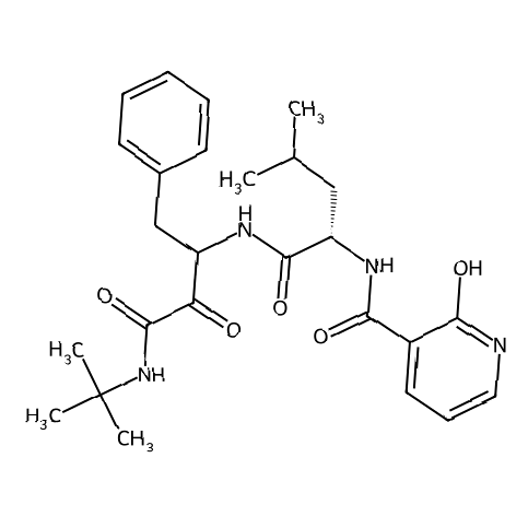 CC(C)C[C@H](NC(=O)c1cccnc1O)C(=O)NC(Cc1ccccc1)C(=O)C(=O)NC(C)(C)C